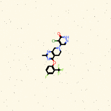 Cc1nc2c(c(Oc3ccc(F)cc3C(F)(F)F)n1)CCN(c1cn[nH]c(=O)c1Cl)C2